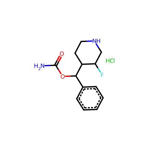 Cl.NC(=O)OC(c1ccccc1)C1CCNCC1F